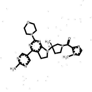 Cn1ccnc1C(=O)N1CC[C@](C)(N2CCc3c(-c4cnc(N)nc4)nc(N4CCOCC4)nc32)C1